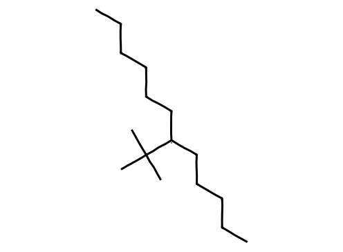 CCCCCC[C](CCCCC)C(C)(C)C